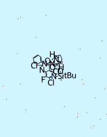 CC(C)(C)[Si](C)(C)OC[C@H]1[C@H]2CC[C@@H](CN1c1nc(Cl)nc3c(F)c(Cl)nc(Cl)c13)N2C(=O)OCc1ccccc1